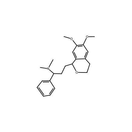 COc1cc2c(cc1OC)C(CCC(c1ccccc1)N(C)C)OCC2